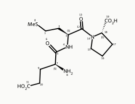 CSCC[C@H](NC(=O)[C@@H](N)CCC(=O)O)C(=O)N1CCC[C@H]1C(=O)O